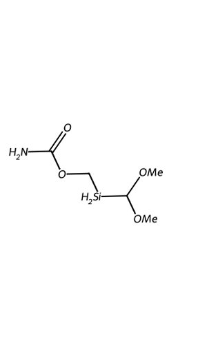 COC(OC)[SiH2]COC(N)=O